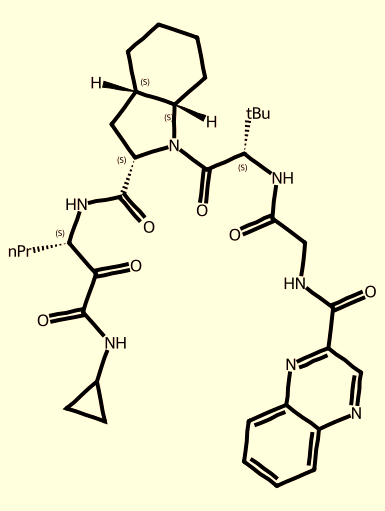 CCC[C@H](NC(=O)[C@@H]1C[C@@H]2CCCC[C@@H]2N1C(=O)[C@@H](NC(=O)CNC(=O)c1cnc2ccccc2n1)C(C)(C)C)C(=O)C(=O)NC1CC1